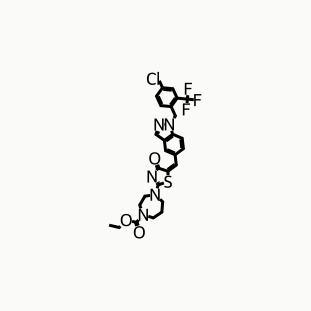 CCOC(=O)N1CCCN(C2=NC(=O)C(=Cc3ccc4c(cnn4Cc4ccc(Cl)cc4C(F)(F)F)c3)S2)CC1